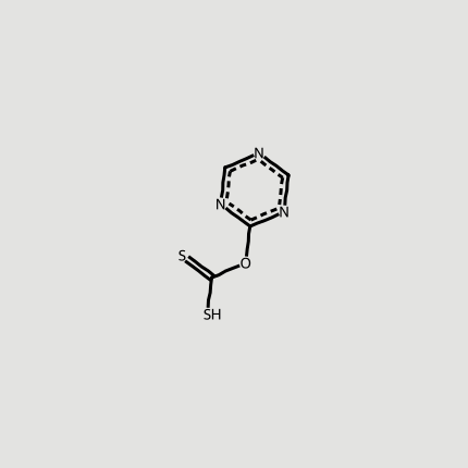 S=C(S)Oc1ncncn1